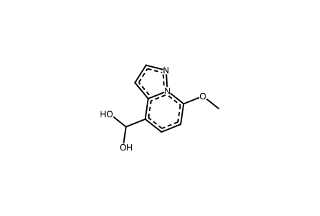 COc1ccc(C(O)O)c2ccnn12